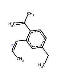 C=C(C)c1ccc(CC)cc1/C=C\C